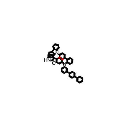 C1=Cc2c(oc3cc(N(c4cccc(-c5ccc(-c6ccccc6)cc5)c4)c4ccccc4-c4ccc(-n5c6ccccc6c6ccccc65)cc4)ccc23)NC1